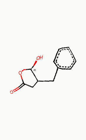 O=C1CC(Cc2ccccc2)[C@H](O)O1